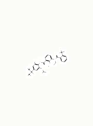 CCN(C(=O)c1ccccc1C(F)(F)F)c1cccc(C(=O)Nc2c(Cl)cc(C(F)(C(F)(F)F)C(F)(F)F)cc2OC(F)F)c1OC